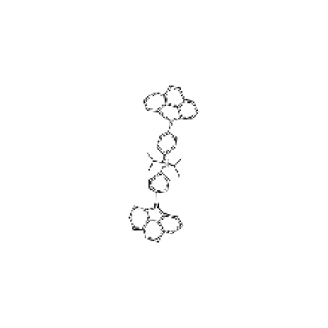 CC(C)[Si](c1ccc(-n2c3cccc4ccc5cccc2c5c43)cc1)(c1ccc(-n2c3cccc4ccc5cccc2c5c43)cc1)C(C)C